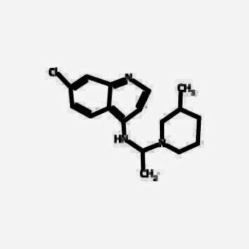 [CH2]C(Nc1ccnc2cc(Cl)ccc12)N1CCCC(C)C1